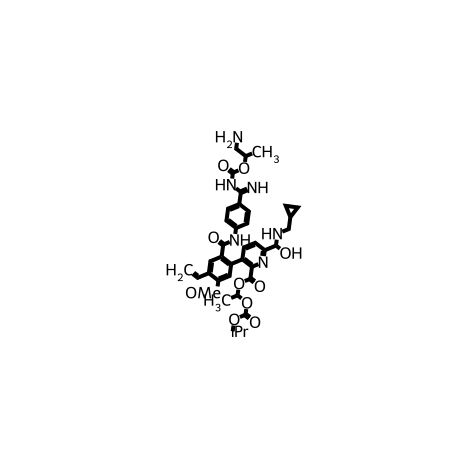 C=Cc1cc(C(=O)Nc2ccc(C(=N)NC(=O)OC(C)CN)cc2)c(-c2ccc(C(O)NCC3CC3)nc2C(=O)OC(C)OC(=O)OC(C)C)cc1OC